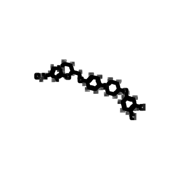 O=[N+]([O-])c1cn2c(n1)OC(COc1ccc(N3CCC(Oc4ccc(Cl)c(Cl)c4)CC3)cc1)CC2